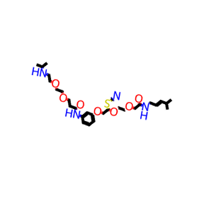 CC(C)/C=C/CNC(=O)COCCOC(COc1cccc(NC(=O)CCOCCOCCNC(C)C)c1)SC#N